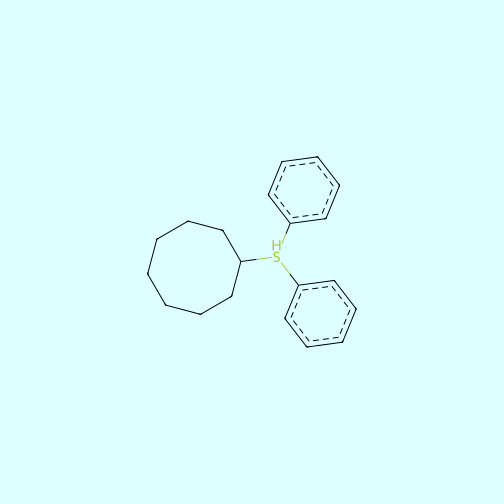 c1ccc([SH](c2ccccc2)C2CCCCCCC2)cc1